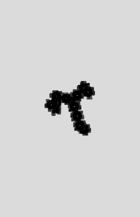 CC(C)(C)c1cccc2c1oc1c(-c3ccc(N(c4ccc(-c5ccc(-c6ccc7ccccc7c6)cc5)cc4)c4ccc(-c5cccc6ccccc56)cc4)cc3)cccc12